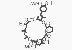 CCC1/C=C(\C)CC(C)CC(OC)C2OC(O)(C(=O)C(=O)N3CCCCC3C(=O)OC(C(C)=CC3CCC(O)C(OC)C3)C(C)CCC1=O)C(C)CC2OC